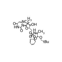 C[C@H](NP(=O)(OCC1O[C@@H](n2ccc(=O)[nH]c2=O)[C@](C)(C#N)[C@@H]1O)Oc1ccccc1)C(=O)OCC(C)(C)C